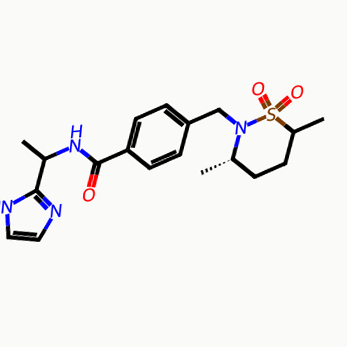 CC(NC(=O)c1ccc(CN2[C@@H](C)CCC(C)S2(=O)=O)cc1)c1ncc[nH]1